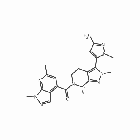 Cc1cc(C(=O)N2CCc3c(nn(C)c3-c3cc(C(F)(F)F)nn3C)[C@@H]2C)c2cnn(C)c2n1